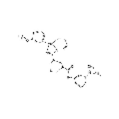 COc1cccc(-c2nc(C3CCCN(C(=O)Nc4cccc(N(C)C)c4)C3)n3ccccc23)c1